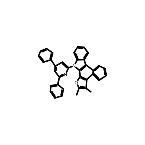 Cc1oc2c(c1C)c1ccccc1c1c3ccccc3n(-c3cc(-c4ccccc4)cc(-c4ccccc4)n3)c21